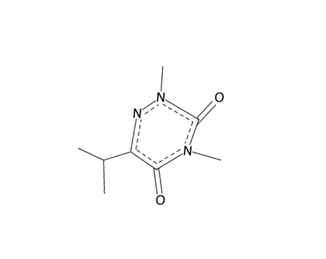 CC(C)c1nn(C)c(=O)n(C)c1=O